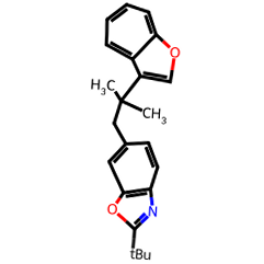 CC(C)(C)c1nc2ccc(CC(C)(C)c3coc4ccccc34)cc2o1